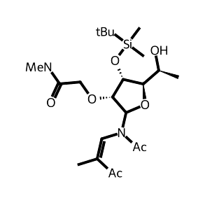 CNC(=O)CO[C@H]1C(N(/C=C(/C)C(C)=O)C(C)=O)O[C@H]([C@H](C)O)[C@H]1O[Si](C)(C)C(C)(C)C